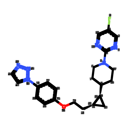 Fc1cnc(N2CCC([C@@H]3C[C@@H]3CCOc3ccc(-n4ccnn4)cc3)CC2)nc1